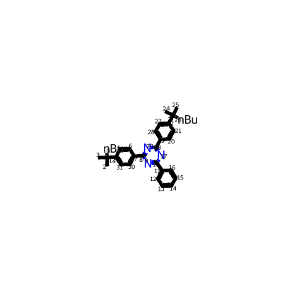 CCCCC(C)(C)c1ccc(-c2nc(-c3ccccc3)nc(-c3ccc(C(C)(C)CCCC)cc3)n2)cc1